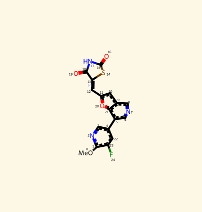 COc1ncc(-c2cncc3cc(/C=C4\SC(=O)NC4=O)oc23)cc1F